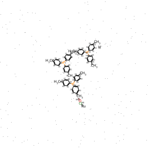 Cc1ccc(P(c2ccc(C)cc2)c2ccc(C)cc2)cc1.Cc1ccc(P(c2ccc(C)cc2)c2ccc(C)cc2)cc1.Cc1ccc(P(c2ccc(C)cc2)c2ccc(C)cc2)cc1.[C]=O.[Cl][Ru].[H-]